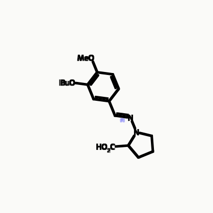 COc1ccc(/C=N/N2CCCC2C(=O)O)cc1OCC(C)C